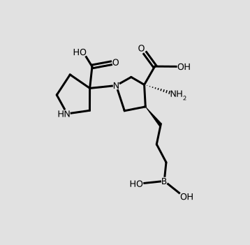 N[C@@]1(C(=O)O)CN(C2(C(=O)O)CCNC2)C[C@@H]1CCCB(O)O